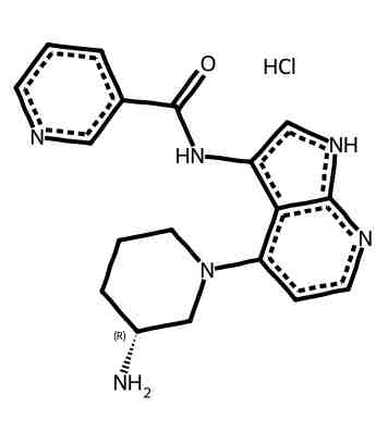 Cl.N[C@@H]1CCCN(c2ccnc3[nH]cc(NC(=O)c4cccnc4)c23)C1